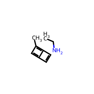 CCN.Cc1cc2ccc1-2